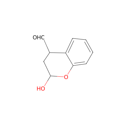 O=CC1CC(O)Oc2ccccc21